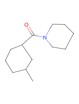 CC1CCCC(C(=O)N2CCCCC2)C1